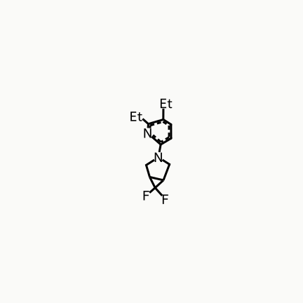 CCc1ccc(N2CC3C(C2)C3(F)F)nc1CC